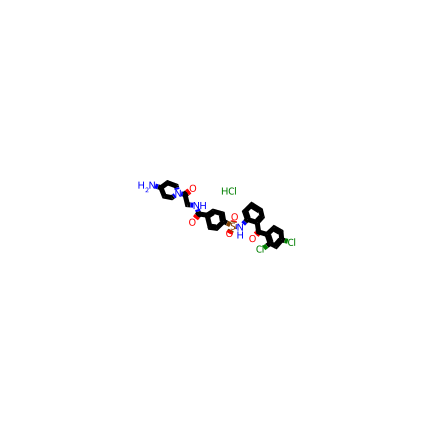 Cl.NC1CCN(C(=O)CNC(=O)c2ccc(S(=O)(=O)Nc3ccccc3C(=O)c3ccc(Cl)cc3Cl)cc2)CC1